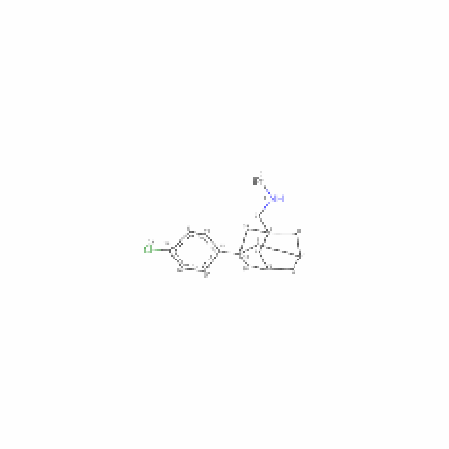 CC(C)NCC12CC3CC(C1)CC(c1ccc(Cl)cc1)(C3)C2